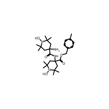 Cc1ccc(COC(=O)C2(NC(=O)C3(N)CC(C)(C)N(O)C(C)(C)C3)CC(C)(C)N(O)C(C)(C)C2)cc1